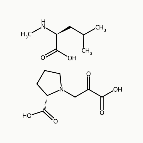 CN[C@@H](CC(C)C)C(=O)O.O=C(O)C(=O)CN1CCC[C@H]1C(=O)O